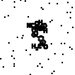 CN1C(=O)Cc2ccc(-c3ccc(C[C@@H](C#N)NC(=O)[C@H]4N[C@@H]5CC[C@H]4C5)o3)cc21